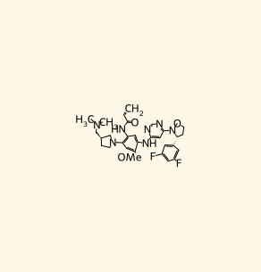 C=CC(=O)Nc1cc(Nc2cc(N3OCC[C@@H]3c3cc(F)cc(F)c3)ncn2)c(OC)cc1N1CC[C@@H](CN(C)C)C1